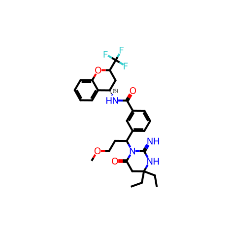 CCC1(CC)CC(=O)N(C(CCOC)c2cccc(C(=O)N[C@H]3CC(C(F)(F)F)Oc4ccccc43)c2)C(=N)N1